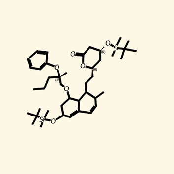 CCC[C@@](C)(COC1CC(O[Si](C)(C)C(C)(C)C)C=C2C=CC(C)C(CC[C@@H]3C[C@@H](O[Si](C)(C)C(C)(C)C)CC(=O)O3)C21)Oc1ccccc1